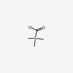 CS(C)(C)C(=O)Cl